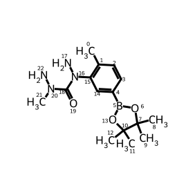 Cc1ccc(B2OC(C)(C)C(C)(C)O2)cc1N(N)C(=O)N(C)N